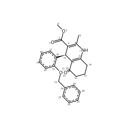 COC(=O)C1=C(C)NC2=C(C(=O)CCC2)[C@H]1c1ccccc1OCc1ccccc1